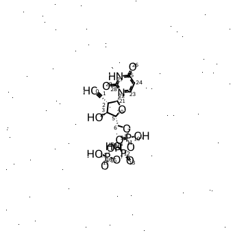 C#C[C@H]1[C@H](O)[C@@H](COP(=O)(O)OP(=O)(O)OP(=O)(O)O)O[C@H]1n1ccc(=O)[nH]c1=O